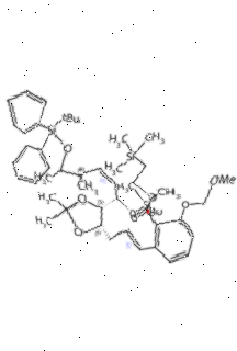 COCOc1cccc(/C=C/C[C@@H]2OC(C)(C)O[C@@H]2C(/C=C\[C@@H](C)C(C)O[Si](c2ccccc2)(c2ccccc2)C(C)(C)C)O[Si](C)(C)C(C)(C)C)c1C(=O)OCC[Si](C)(C)C